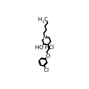 CCCCCN1CCC(CCOc2cccc(Cl)c2)C(O)C1.Cl